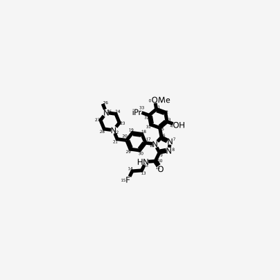 COc1cc(O)c(-c2nnc(C(=O)NCCF)n2-c2ccc(CN3CCN(C)CC3)cc2)cc1C(C)C